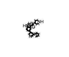 O=C(NC1CCNCC1)c1n[nH]c2ccc(-c3cncc(N4CCCC4)c3)cc12